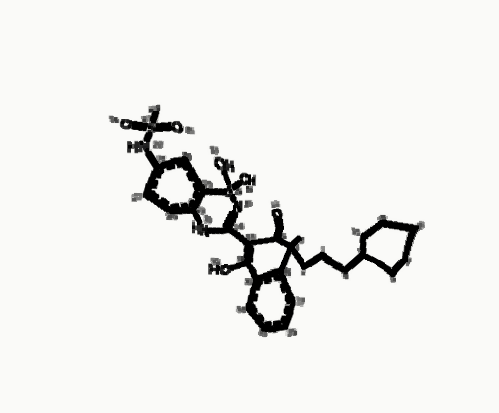 CC1(CCCC2CCCCC2)C(=O)C(C2=NS(O)(O)c3cc(NS(C)(=O)=O)ccc3N2)=C(O)c2ccccc21